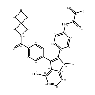 C=C(C)C(=O)Nc1ccc(-c2c(-c3ccc(C(=O)N4CC5(CCC5)C4)cc3)c3c(N)ncnc3n2C)cc1